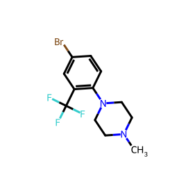 CN1CCN(c2ccc(Br)cc2C(F)(F)F)CC1